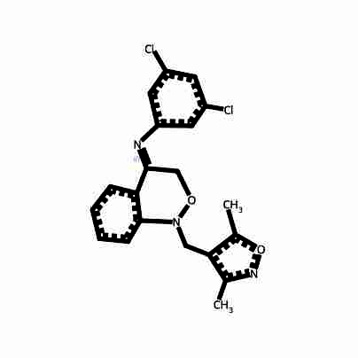 Cc1noc(C)c1CN1OC/C(=N\c2cc(Cl)cc(Cl)c2)c2ccccc21